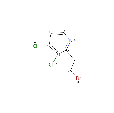 Clc1ccnc(CCBr)c1Cl